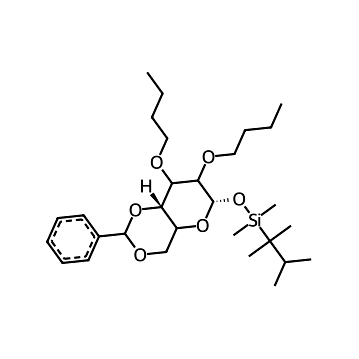 CCCCOC1C(OCCCC)[C@H]2OC(c3ccccc3)OCC2O[C@H]1O[Si](C)(C)C(C)(C)C(C)C